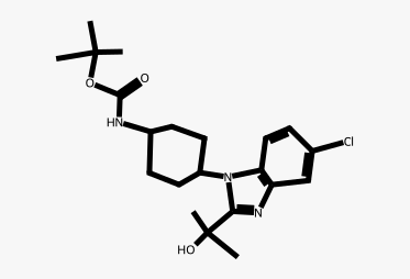 CC(C)(C)OC(=O)NC1CCC(n2c(C(C)(C)O)nc3cc(Cl)ccc32)CC1